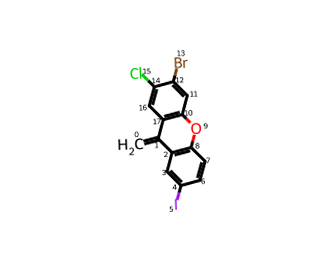 C=C1c2cc(I)ccc2Oc2cc(Br)c(Cl)cc21